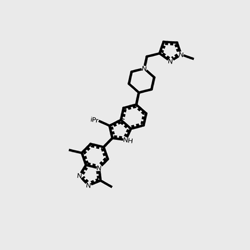 Cc1cc(-c2[nH]c3ccc(C4CCN(Cc5ccn(C)n5)CC4)cc3c2C(C)C)cn2c(C)nnc12